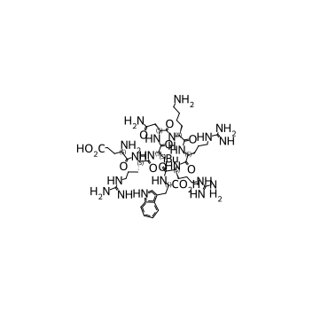 CC[C@H](C)[C@H](NC(=O)[C@H](CCCNC(=N)N)NC(=O)[C@@H](N)CCC(=O)O)C(=O)N[C@@H](CC(N)=O)C(=O)N[C@@H](CCCCN)C(=O)N[C@@H](CCCNC(=N)N)C(=O)N[C@@H](CCCNC(=N)N)C(=O)N[C@@H](Cc1c[nH]c2ccccc12)C(=O)O